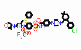 CC1(C)CCC(c2ccc(Cl)cc2)=C(CN2CCN(c3ccc(C(=O)NS(=O)(=O)c4ccc(N[C@H](CCN5CC6CC5CO6)CSc5ccccc5)c(S(=O)(=O)C(F)(F)F)c4)cc3)CC2)C1